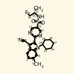 Cc1ccc2c(C#N)c(-c3ncc(S(=O)(=O)N[C@@H](C)CF)cn3)n(C3CCCCC3)c2c1